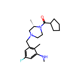 CNc1cc(F)cc(CN2CCN(C(=O)C3CCCC3)[C@@H](C)C2)c1C